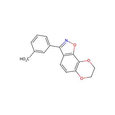 O=C(O)c1cccc(-c2noc3c4c(ccc23)OCCO4)c1